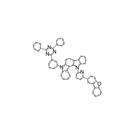 c1ccc(-c2nc(-c3ccccc3)nc(-c3cccc(-n4c5ccccc5c5c4ccc4c6ccccc6n(-c6cccc(-c7ccc8oc9ccccc9c8c7)n6)c45)c3)n2)cc1